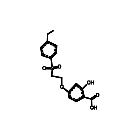 CCc1ccc(S(=O)(=O)CCOc2ccc(C(=O)O)c(O)c2)cc1